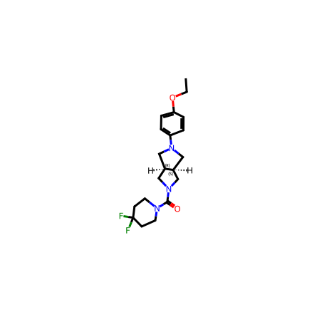 CCOc1ccc(N2C[C@H]3CN(C(=O)N4CCC(F)(F)CC4)C[C@H]3C2)cc1